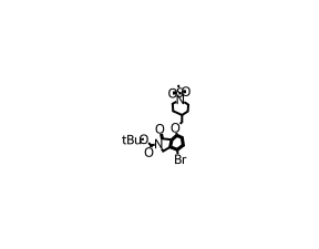 CC(C)(C)OC(=O)N1Cc2c(Br)ccc(OCC3CCN(S(C)(=O)=O)CC3)c2C1=O